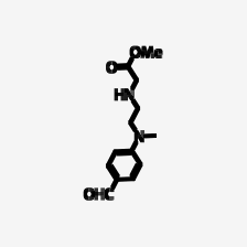 COC(=O)CNCCN(C)c1ccc(C=O)cc1